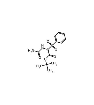 CC(C)(C)OC(=O)N(NC(N)=O)S(=O)(=O)c1ccccc1